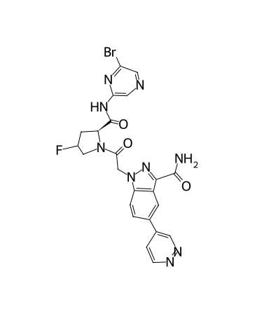 NC(=O)c1nn(CC(=O)N2CC(F)C[C@H]2C(=O)Nc2cncc(Br)n2)c2ccc(-c3ccnnc3)cc12